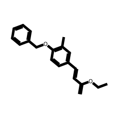 C=C(/C=C/c1ccc(OCc2ccccc2)c(C)c1)OCC